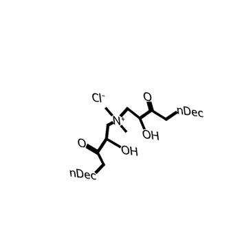 CCCCCCCCCCCC(=O)C(O)C[N+](C)(C)CC(O)C(=O)CCCCCCCCCCC.[Cl-]